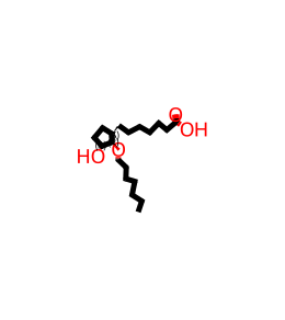 CCCCCCCO[C@@H]1[C@@H](CCCCCCC(=O)O)CC[C@H]1O